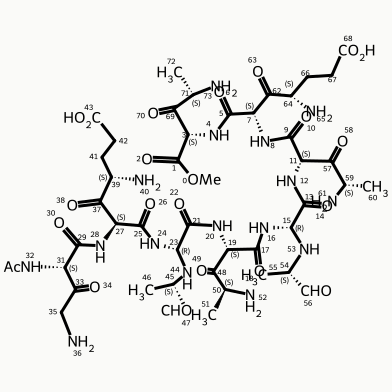 COC(=O)[C@@H](NC(=O)[C@@H](NC(=O)[C@@H](NC(=O)[C@@H](NC(=O)[C@@H](NC(=O)[C@@H](NC(=O)[C@@H](NC(=O)[C@@H](NC(C)=O)C(=O)CN)C(=O)[C@@H](N)CCC(=O)O)N[C@@H](C)C=O)C(=O)[C@H](C)N)N[C@@H](C)C=O)C(=O)[C@H](C)N)C(=O)[C@@H](N)CCC(=O)O)C(=O)[C@H](C)N